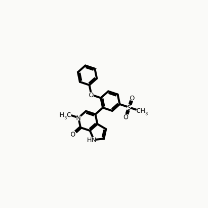 Cn1cc(-c2cc(S(C)(=O)=O)ccc2Oc2c[c]ccc2)c2cc[nH]c2c1=O